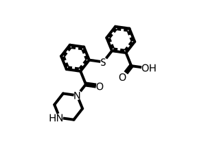 O=C(O)c1ccccc1Sc1ccccc1C(=O)N1CCNCC1